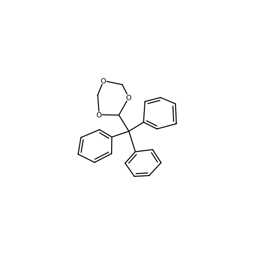 c1ccc(C(c2ccccc2)(c2ccccc2)C2OCOCO2)cc1